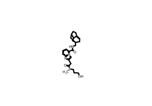 CN(CCCO)C(=O)Cc1cn2c(C(=O)NCC34CC=C5CCC(C3)C5C4)cccc2n1